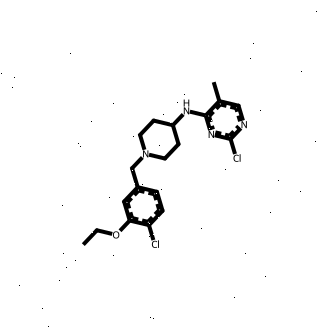 CCOc1cc(CN2CCC(Nc3nc(Cl)ncc3C)CC2)ccc1Cl